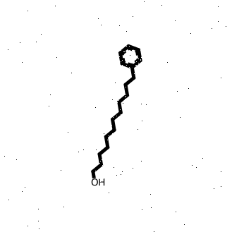 OCCCCCCCCCCCCc1ccccc1